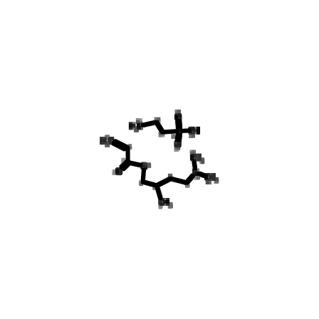 C=CC(=O)OCC(C)CCN(C)C.CCCS(=O)(=O)O